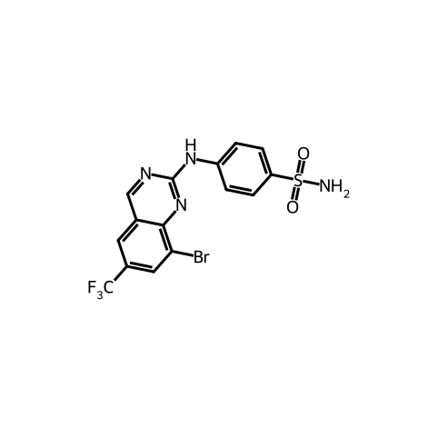 NS(=O)(=O)c1ccc(Nc2ncc3cc(C(F)(F)F)cc(Br)c3n2)cc1